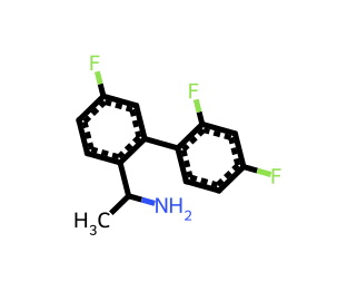 CC(N)c1ccc(F)cc1-c1ccc(F)cc1F